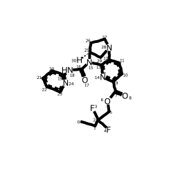 CCC(F)(F)COC(=O)c1ccc2c(n1)N(C(=O)Nc1ccccn1)[C@H]1CCN2C1